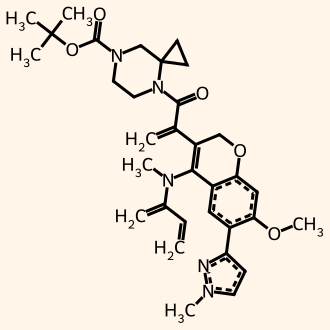 C=CC(=C)N(C)C1=C(C(=C)C(=O)N2CCN(C(=O)OC(C)(C)C)CC23CC3)COc2cc(OC)c(-c3ccn(C)n3)cc21